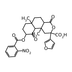 CC12CCC(OC(=O)c3ccccc3[N+](=O)[O-])C(=O)C1C1(C)CC(C(=O)O)(c3ccoc3)OC(=O)C1CC2